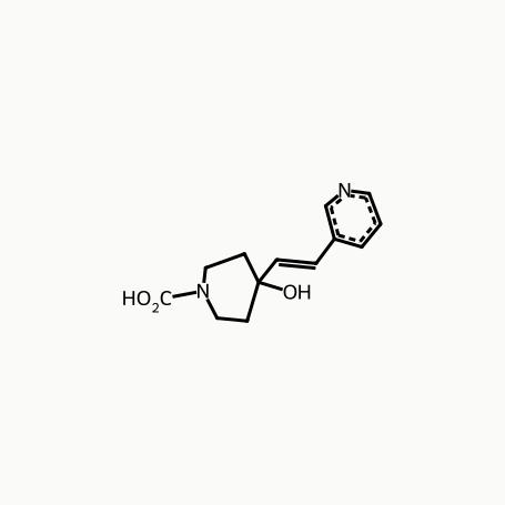 O=C(O)N1CCC(O)(/C=C/c2cccnc2)CC1